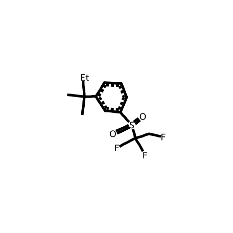 CCC(C)(C)c1cccc(S(=O)(=O)C(F)(F)CF)c1